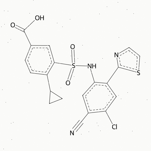 N#Cc1cc(NS(=O)(=O)c2cc(C(=O)O)ccc2C2CC2)c(-c2nccs2)cc1Cl